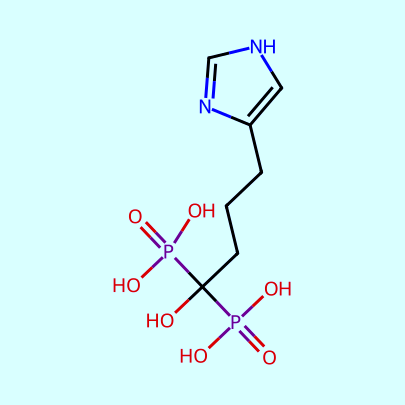 O=P(O)(O)C(O)(CCCc1c[nH]cn1)P(=O)(O)O